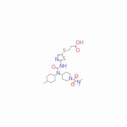 CC1CCC(N(C(=O)Nc2ncc(SCCC(=O)O)s2)C2CCN(S(=O)(=O)N(C)C)CC2)CC1